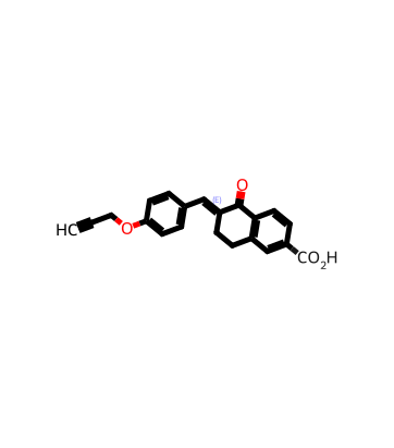 C#CCOc1ccc(/C=C2\CCc3cc(C(=O)O)ccc3C2=O)cc1